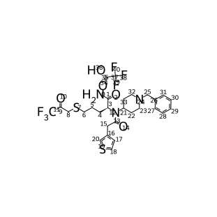 NC(=O)[C@H](CCCSCC(=O)C(F)(F)F)N(C(=O)Cc1ccsc1)C1CCN(Cc2ccccc2)CC1.O=C(O)C(F)(F)F